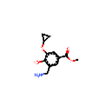 COC(=O)c1cc(CN)c(O)c(OC2CC2)c1